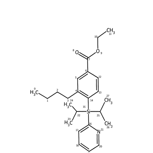 CCCCc1cc(C(=O)OCC)ccc1[Si](c1ccccn1)(C(C)C)C(C)C